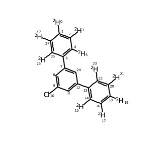 [2H]c1c([2H])c([2H])c(-c2cc(Cl)cc(-c3c([2H])c([2H])c([2H])c([2H])c3[2H])c2)c([2H])c1[2H]